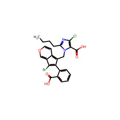 CCCCc1nc(Cl)c(C(=O)O)n1Cc1c2ccocc-2c(Br)c1-c1ccccc1C(=O)O